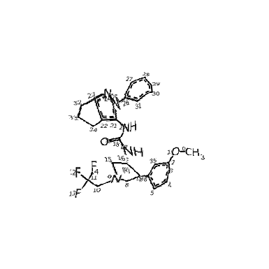 COc1cccc([C@H]2CN(CC(F)(F)F)C[C@@H]2NC(=O)Nc2c3c(nn2-c2ccccc2)CCC3)c1